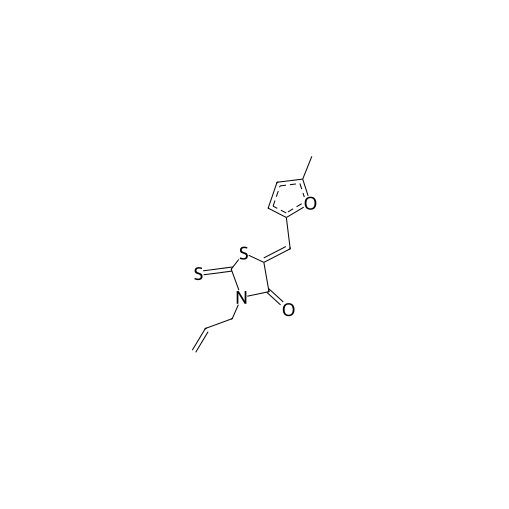 C=CCN1C(=O)/C(=C/c2ccc(C)o2)SC1=S